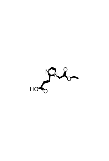 CCOC(=O)Cn1ccnc1C=CC(=O)O